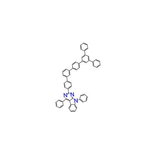 c1ccc(-c2cc(-c3ccccc3)cc(-c3ccc(-c4cccc(-c5ccc(-c6nc(-c7ccccc7)c7c8ccccc8n(-c8ccccc8)c7n6)cc5)c4)cc3)c2)cc1